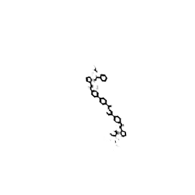 COC(=O)N[C@H](C(=O)N1CCCC1c1nc2ccc(-c3csc4c(-c5ccc(-c6ccc7nc(C8C=CCN8C(=O)[C@H](NC(=O)OC)c8ccccc8)[nH]c7c6)cc5)csc34)cc2[nH]1)C(C)C